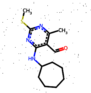 CSc1nc(C)c(C=O)c(NC2CCCCCC2)n1